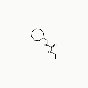 CCNC(=O)NCC1CCCCCCC1